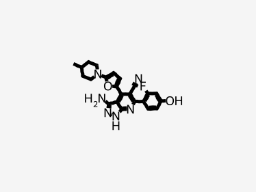 CC1CCN(c2ccc(-c3c(C#N)c(-c4ccc(O)cc4F)nc4[nH]nc(N)c34)o2)CC1